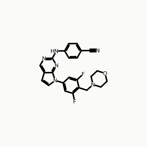 N#Cc1ccc(Nc2ncc3ccn(-c4cc(F)c(CN5CCOCC5)c(F)c4)c3n2)cc1